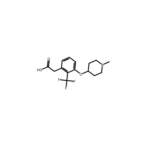 CN1CCC(Oc2cccc(CC(=O)O)c2C(F)(F)F)CC1